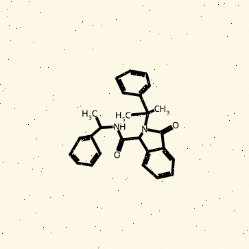 CC(NC(=O)C1c2ccccc2C(=O)N1C(C)(C)c1ccccc1)c1ccccc1